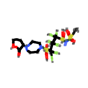 O=C1OCC[C@H]1N1CCN(S(=O)(=O)C(F)(F)C(F)(F)C(F)(F)S(=O)(=O)NS(=O)(=O)C(F)(F)F)CC1